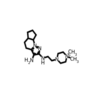 C[N+]1(C)CCN(CCNc2nn3c(c2N)CCC2CCCC23)CC1